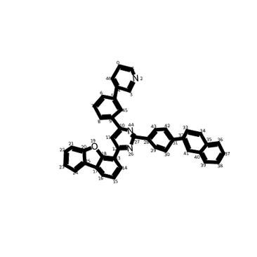 c1cncc(-c2cccc(-c3cc(-c4cccc5c4oc4ccccc45)nc(-c4ccc(-c5ccc6ccccc6c5)cc4)n3)c2)c1